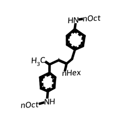 CCCCCCCCNc1ccc(CC([CH]C(C)c2ccc(NCCCCCCCC)cc2)CCCCCC)cc1